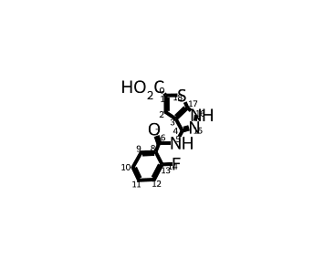 O=C(O)c1cc2c(NC(=O)c3ccccc3F)n[nH]c2s1